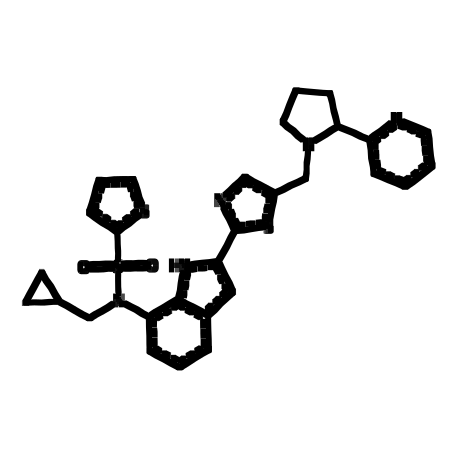 O=S(=O)(c1cccs1)N(CC1CC1)c1cccc2cc(-c3ncc(CN4CCCC4c4ccccn4)s3)[nH]c12